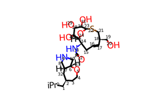 CC(C)C[C@@H]1CCO[C@@H]2[C@H](CN[C@@H]2C(=O)N[C@@H]2C/C=C/[C@H](CO)CSC3O[C@H]2C(O)C(O)[C@H]3O)C1